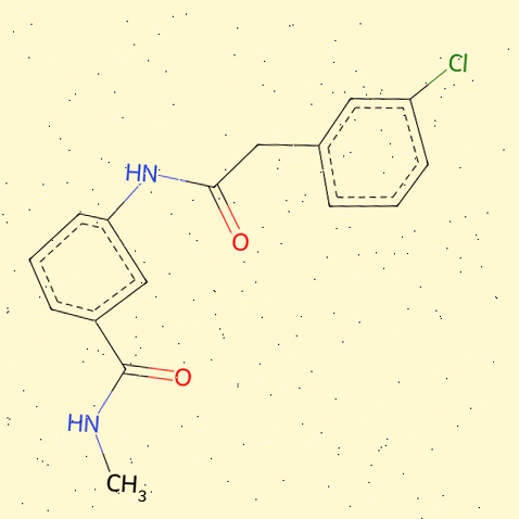 CNC(=O)c1cccc(NC(=O)Cc2cccc(Cl)c2)c1